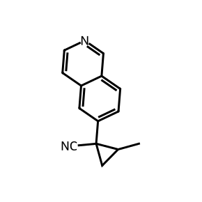 CC1CC1(C#N)c1ccc2cnccc2c1